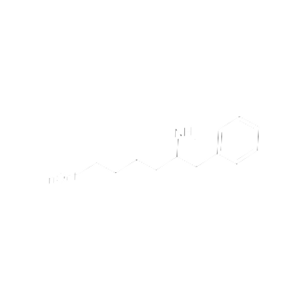 CCCCCCCCCCCCC(N)Cc1ccccc1